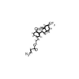 CC=CC(=O)OCCCc1ccc(O)c(C2N=c3ccc(C(F)(F)F)cc3=N2)c1